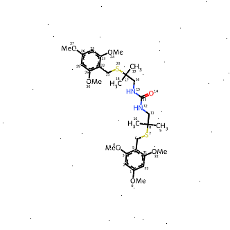 COc1cc(OC)c(CSC(C)(C)CNC(=O)NCC(C)(C)SCc2c(OC)cc(OC)cc2OC)c(OC)c1